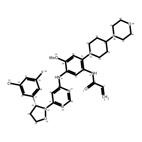 C=CC(=O)Nc1cc(Nc2cc(N3OCC[C@@H]3c3cc(F)cc(Cl)c3)ncn2)c(OC)cc1N1CCC(N2CCOCC2)CC1